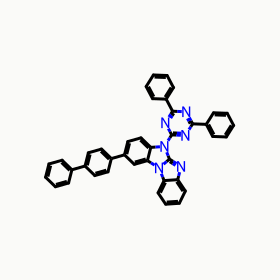 c1ccc(-c2ccc(-c3ccc4c(c3)n3c5ccccc5nc3n4-c3nc(-c4ccccc4)nc(-c4ccccc4)n3)cc2)cc1